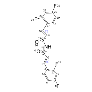 [O-][S+](/C=C/c1ccc(F)cc1F)N[S+]([O-])/C=C/c1ccc(F)cc1F